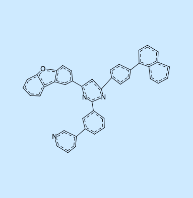 c1cncc(-c2cccc(-c3nc(-c4ccc(-c5cccc6ccccc56)cc4)cc(-c4ccc5oc6ccccc6c5c4)n3)c2)c1